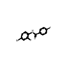 O=C(Nc1ccc(Br)cc1F)c1ccc(F)cc1